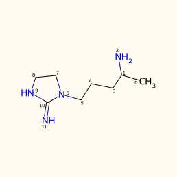 CC(N)CCCN1CCNC1=N